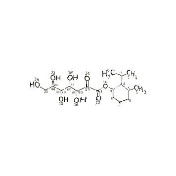 CC(C)C1C(C)CCCC1OC(=O)C(=O)[C@H](O)[C@@H](O)[C@H](O)[C@H](O)CO